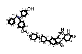 CC/C(=C(\c1ccc(O)cc1)c1ccc(OCCN2CCC(N3CCC(c4ccc5c(c4)C(=O)N(C4CCC(=O)NC4O)C5=O)CC3)CC2)cc1)c1ccccc1